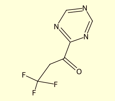 O=C(CC(F)(F)F)c1ncncn1